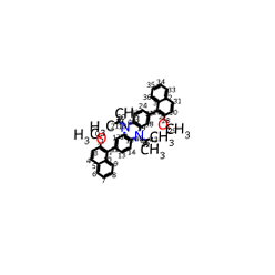 COc1ccc2ccccc2c1-c1ccc2c(c1)N(C(C)C)c1ccc(-c3c(OC)ccc4ccccc34)cc1N2C(C)C